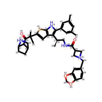 Cc1cc(C)cc(-c2[nH]c3sc(C(C)(C)C(=O)C4C5CCC4NC5)cc3c2[C@H](C)CNC(=O)C2CN(Cc3ccc4c(c3)OCO4)C2)c1